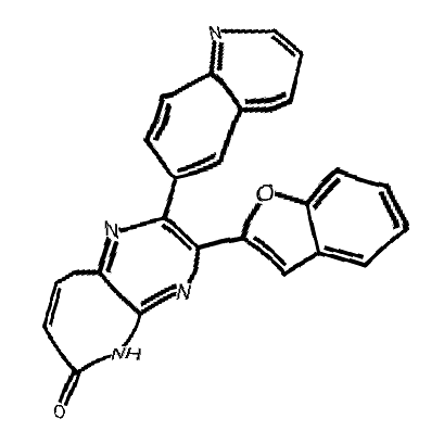 O=c1ccc2nc(-c3ccc4ncccc4c3)c(-c3cc4ccccc4o3)nc2[nH]1